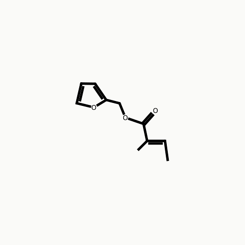 C/C=C(\C)C(=O)OCc1ccco1